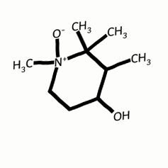 CC1C(O)CC[N+](C)([O-])C1(C)C